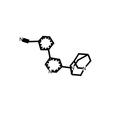 N#Cc1cccc(-c2cncc(N3CC4CC5CC3CN(C5)C4)c2)c1